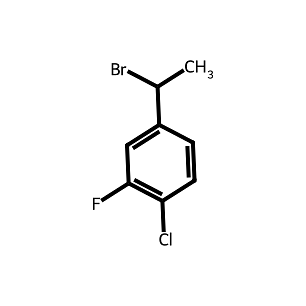 CC(Br)c1ccc(Cl)c(F)c1